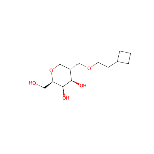 OC[C@H]1OC[C@H](COCCC2CCC2)[C@@H](O)[C@H]1O